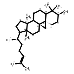 CC(C)=CCC[C@@H](C)C1CC[C@@]2(C)C3CCC4C(C)(C)[C@@H](O)CC[C@@]45C[C@@]35CC[C@]12C